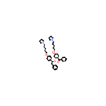 O=C(Cc1ccccc1)c1ccc(OCCCCCN2CCCC2)cc1.O=C(c1ccccc1)c1ccc(OCCCCCN2CCCC2)cc1